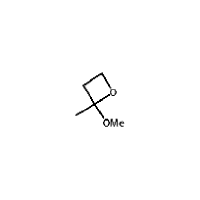 COC1(C)CCO1